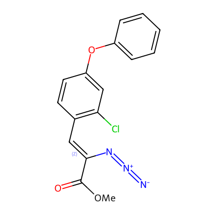 COC(=O)/C(=C/c1ccc(Oc2ccccc2)cc1Cl)N=[N+]=[N-]